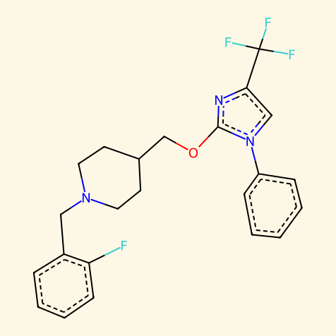 Fc1ccccc1CN1CCC(COc2nc(C(F)(F)F)cn2-c2ccccc2)CC1